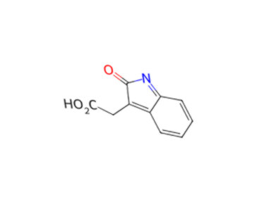 O=C(O)CC1=c2ccccc2=NC1=O